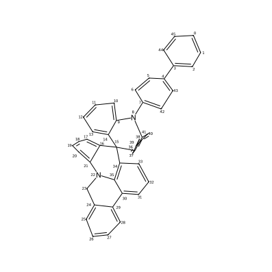 c1ccc(-c2ccc(N3c4ccccc4C4(c5ccccc5N5Cc6ccccc6-c6cccc4c65)c4ccccc43)cc2)cc1